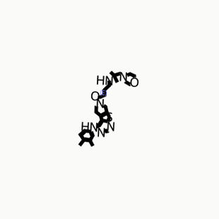 Cc1ccc(Nc2ncnc3sc4c(c23)CCN(C(=O)/C=C/CNC(C)(C)CN2CCOCC2)C4)cc1C